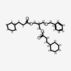 O=C(CCC1CCCCC1)OCC(COCc1ccccc1)COC(=O)CCC1CCCCC1